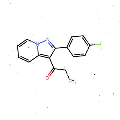 CCC(=O)c1c(-c2ccc(F)cc2)nn2ccccc12